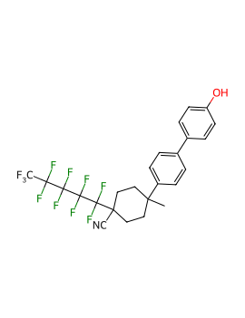 CC1(c2ccc(-c3ccc(O)cc3)cc2)CCC(C#N)(C(F)(F)C(F)(F)C(F)(F)C(F)(F)C(F)(F)F)CC1